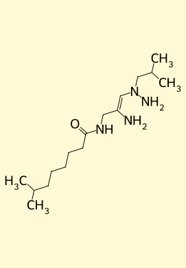 CC(C)CCCCCC(=O)NC/C(N)=C/N(N)CC(C)C